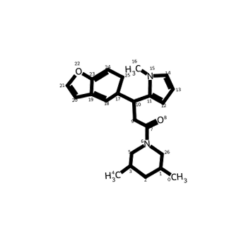 CC1CC(C)CN(C(=O)CC(c2cccn2C)C2C=c3ccoc3=CC2)C1